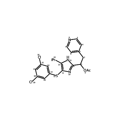 CC(=O)OC(Cc1ccncc1)c1nc(Sc2cc(Cl)cc(Cl)c2)c(C(C)C)[nH]1